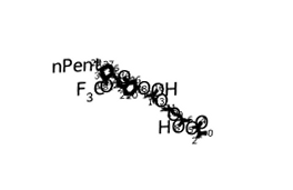 C=C(C)C(=O)OCC(O)COCCOCC(O)COc1ccc2cc(-c3ccc(CCCCC)cc3OC(F)(F)F)oc2c1